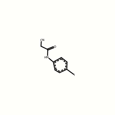 N#CCC(=O)Nc1ccc(I)cc1